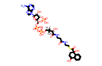 CC(C)(COP(=O)(O)OP(=O)(O)OC[C@H]1O[C@@H](n2cnc3c(N)ncnc32)[C@H](O)[C@@H]1OP(=O)(O)O)[C@@H](O)C(=O)NCCC(=O)NCCSC(=O)C1(O)CC=C(O)c2ccccc21